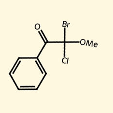 COC(Cl)(Br)C(=O)c1ccccc1